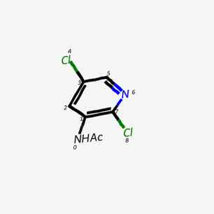 CC(=O)Nc1cc(Cl)cnc1Cl